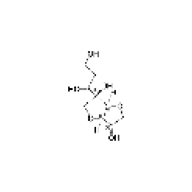 OCCC(O)[C@@]1(O)CO[C@@H]2[C@H](O)CO[C@@H]21